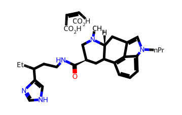 CCCn1cc2c3c(cccc31)C1C[C@@H](C(=O)NCCC(CC)c3c[nH]cn3)CN(C)[C@@H]1C2.O=C(O)/C=C\C(=O)O